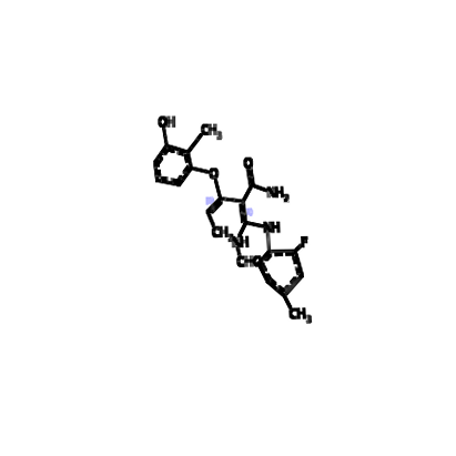 C/C=C(Oc1cccc(O)c1C)\C(C(N)=O)=C(/NC=O)Nc1ccc(C)cc1F